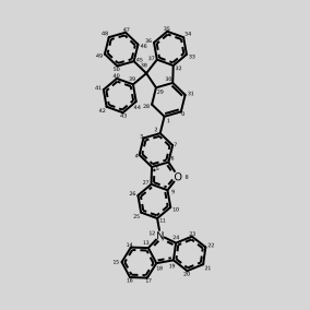 C1=C(c2ccc3c(c2)oc2cc(-n4c5ccccc5c5ccccc54)ccc23)CC2C(=C1)c1ccccc1C2(c1ccccc1)c1ccccc1